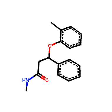 CNC(=O)CC(Oc1ccccc1C)c1ccccc1